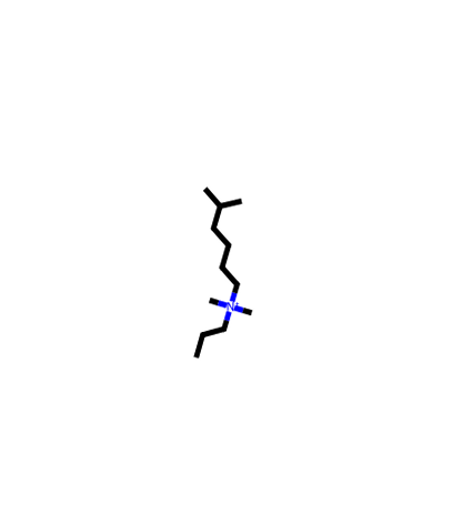 CCC[N+](C)(C)CCCCC(C)C